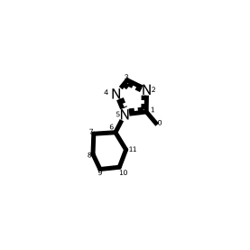 Cc1ncnn1C1CCCCC1